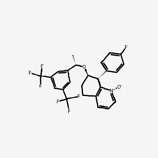 C[C@H](O[C@@H]1CCc2ccc[n+]([O-])c2[C@H]1c1ccc(F)cc1)c1cc(C(F)(F)F)cc(C(F)(F)F)c1